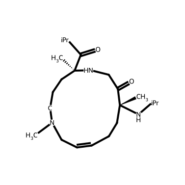 CC(C)N[C@]1(C)CCC=CCN(C)CCC[C@@](C)(C(=O)C(C)C)NCC1=O